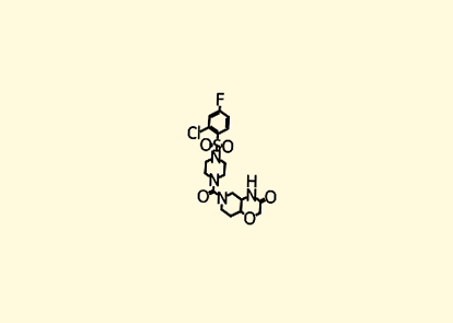 O=C1COC2CCN(C(=O)N3CCN(S(=O)(=O)c4ccc(F)cc4Cl)CC3)CC2N1